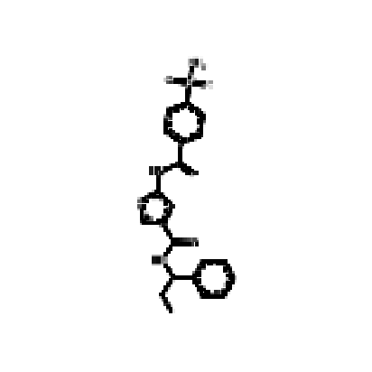 CCC(NC(=O)c1csc(NC(=O)c2ccc(S(N)(=O)=O)cc2)n1)c1ccccc1